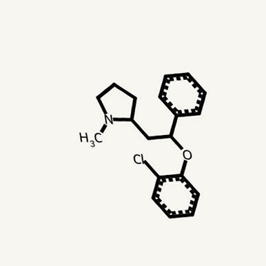 CN1CCCC1CC(Oc1ccccc1Cl)c1ccccc1